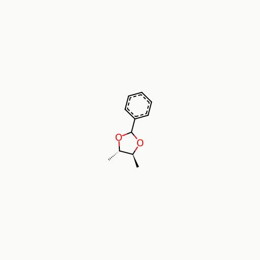 C[C@@H]1OC(c2ccccc2)O[C@H]1C